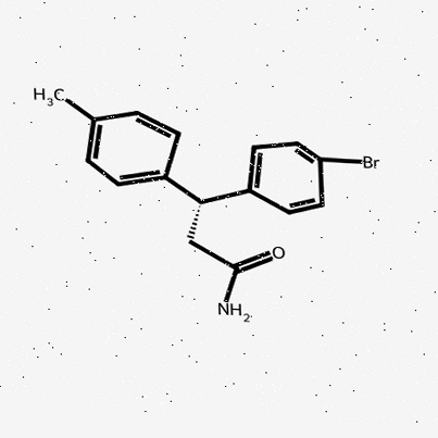 Cc1ccc([C@@H](CC(N)=O)c2ccc(Br)cc2)cc1